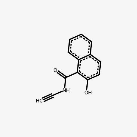 C#CNC(=O)c1c(O)ccc2ccccc12